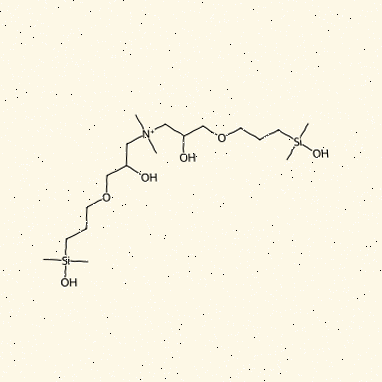 C[N+](C)(CC(O)COCCC[Si](C)(C)O)CC(O)COCCC[Si](C)(C)O